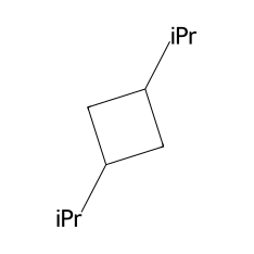 CC(C)C1CC(C(C)C)C1